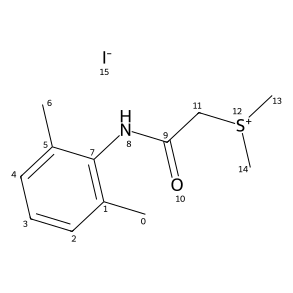 Cc1cccc(C)c1NC(=O)C[S+](C)C.[I-]